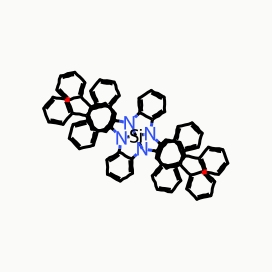 c1ccc(-c2ccc(N3c4ccccc4N(c4ccc(-c5ccccc5)c5ccccc45)[Si]34N(c3ccc(-c5ccccc5)c5ccccc35)c3ccccc3N4c3ccc(-c4ccccc4)c4ccccc34)c3ccccc23)cc1